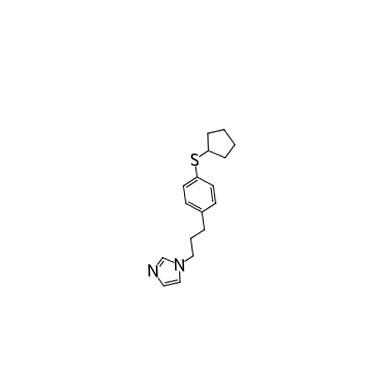 c1cn(CCCc2ccc(SC3CCCC3)cc2)cn1